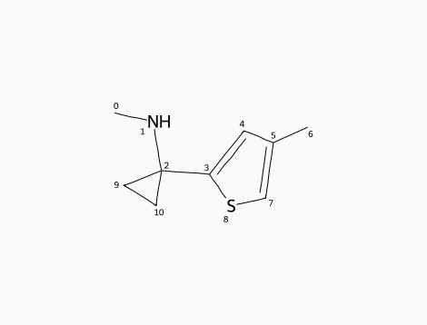 CNC1(c2cc(C)cs2)CC1